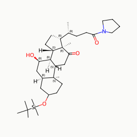 C[C@H](CCC(=O)N1CCCC1)[C@H]1CC[C@H]2[C@@H]3[C@H](O)C[C@@H]4CC(O[Si](C)(C)C(C)(C)C)CC[C@]4(C)[C@H]3CC(=O)[C@]12C